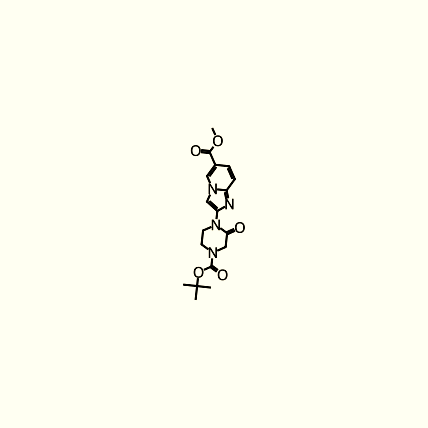 COC(=O)c1ccc2nc(N3CCN(C(=O)OC(C)(C)C)CC3=O)cn2c1